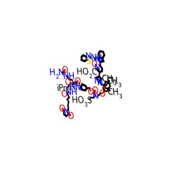 Cc1c(-c2ccc(-c3cc4ccccc4n3C(=O)Nc3nc4ccccc4s3)nc2C(=O)O)cnn1CC12CC3(C)CC(C)(C1)CC(OCCN(CCS(=O)(=O)O)C(=O)OCc1ccc(NC(=O)[C@H](CCCNC(N)=O)NC(=O)[C@@H](NC(=O)CCCCCN4C(=O)C=CC4=O)C(C)C)cc1)(C3)C2